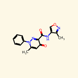 Cc1nocc1NC(=O)c1nn(-c2ccccc2)c(C)cc1=O